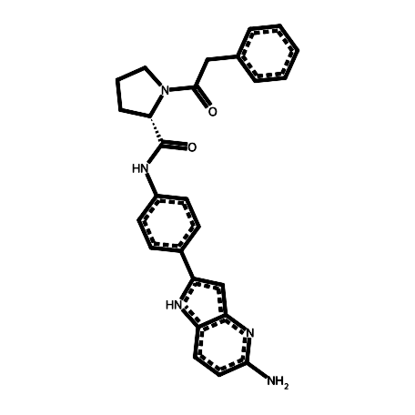 Nc1ccc2[nH]c(-c3ccc(NC(=O)[C@@H]4CCCN4C(=O)Cc4ccccc4)cc3)cc2n1